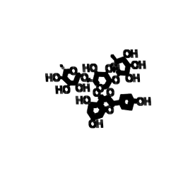 C[C@@H]1O[C@@H](OC[C@H]2O[C@@H](Oc3c(-c4ccc(O)cc4)oc4cc(O)cc(O)c4c3=O)[C@H](O[C@@H]3O[C@@H](C)[C@H](O)[C@@H](O)[C@H]3O)[C@@H](O)[C@@H]2O)[C@H](O)[C@H](O)[C@H]1O